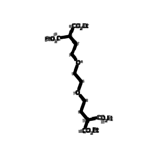 CCOC(=O)C(CCOCCOCCC(C(=O)OCC)C(=O)OCC)C(=O)OCC